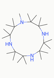 CN1C(C)(C)C(C)(C)NC(C)(C)C(C)(C)NC(C)(C)C(C)(C)NC(C)(C)C1(C)C